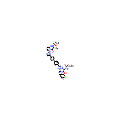 COC(=O)N[C@@H](C)C(=O)N1C(c2nc(-c3ccc(-c4ccc(-c5cnc([C@@H]6CCCN6C(=O)[C@@H](NC(=O)OC)C(C)C)[nH]5)cc4)cc3)c[nH]2)CCC12CCC(F)(F)CC2